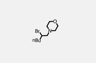 CCCCC(Br)CN1CCOCC1